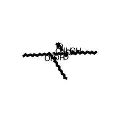 CCCCCCCCCCC(O)COC(=O)C(CCCCN(CC(O)CCCCCCCCCC)CC(O)CCCCCCCCCC)NC(=O)OC(C)(C)C